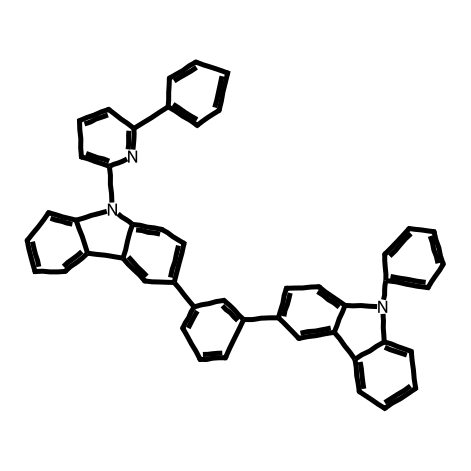 c1ccc(-c2cccc(-n3c4ccccc4c4cc(-c5cccc(-c6ccc7c(c6)c6ccccc6n7-c6ccccc6)c5)ccc43)n2)cc1